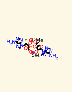 COP1(=O)OCC2OC(n3cnc4c(N)ncnc43)C(OP(SC)OCC3OC(n4cnc5c(N)ncnc54)C(F)C3O1)C2O